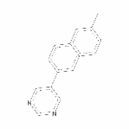 Cc1ccc2cc(-c3cncnc3)ccc2c1